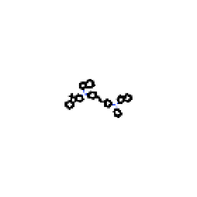 CC1(C)c2ccccc2-c2ccc(N(c3ccc(/C=C/c4ccc(N(c5ccccc5)c5ccc6ccccc6c5)cc4)cc3)c3cccc4ccccc34)cc21